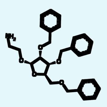 NCCO[C@H]1O[C@H](COCc2ccccc2)[C@@H](OCc2ccccc2)[C@H]1OCc1ccccc1